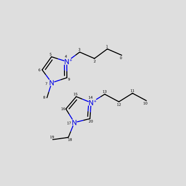 CCCC[n+]1ccn(C)c1.CCCC[n+]1ccn(CC)c1